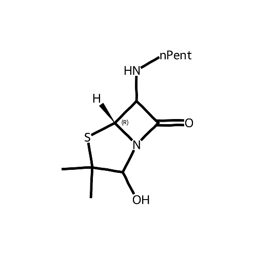 CCCCCNC1C(=O)N2C(O)C(C)(C)S[C@H]12